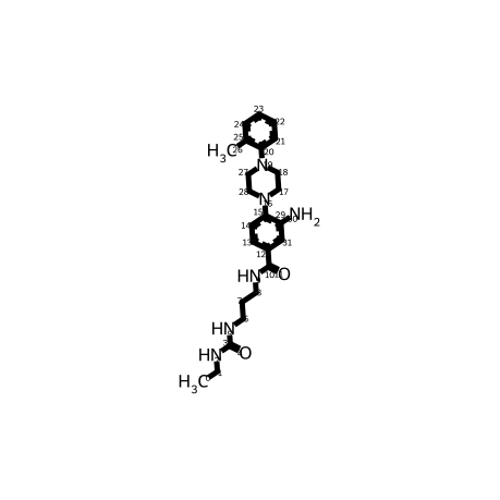 CCNC(=O)NCCCNC(=O)c1ccc(N2CCN(c3ccccc3C)CC2)c(N)c1